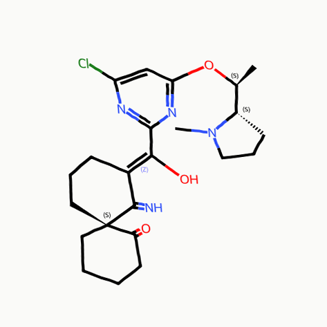 C[C@H](Oc1cc(Cl)nc(/C(O)=C2\CCC[C@@]3(CCCCC3=O)C2=N)n1)[C@@H]1CCCN1C